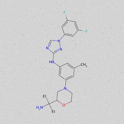 CCC(N)(CC)C1CN(c2cc(C)cc(Nc3ncn(-c4cc(F)cc(F)c4)n3)c2)CCO1